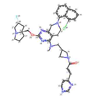 CN(CC1CN(C(=O)/C=C/c2ccncn2)C1)c1nc(OC[C@@]23CCCN2C[C@H](F)C3)nc2c1CCN(c1cccc3cccc(Cl)c13)C2